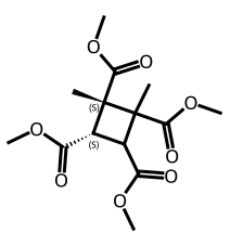 COC(=O)C1[C@H](C(=O)OC)[C@](C)(C(=O)OC)C1(C)C(=O)OC